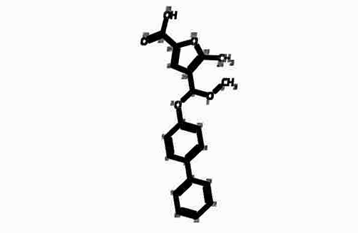 COC(Oc1ccc(-c2ccccc2)cc1)c1cc(C(=O)O)oc1C